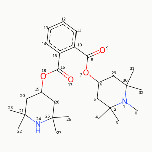 CN1C(C)(C)CC(OC(=O)c2ccccc2C(=O)OC2CC(C)(C)NC(C)(C)C2)CC1(C)C